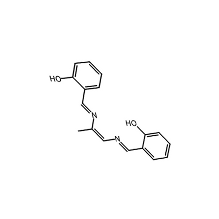 CC(=CN=Cc1ccccc1O)N=Cc1ccccc1O